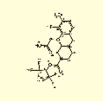 Cc1ccc(CN2CCN(C(=O)OC(C(F)(F)F)C(F)(F)F)CC2)c(OCC(=O)O)c1F